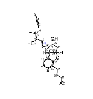 CC#CC[C@H](C)[C@H](O)/C=C/[C@@H]1[C@H]2c3cccc(CCCC(C)=O)c3O[C@H]2C[C@H]1O